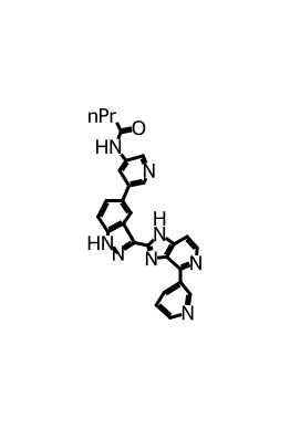 CCCC(=O)Nc1cncc(-c2ccc3[nH]nc(-c4nc5c(-c6cccnc6)nccc5[nH]4)c3c2)c1